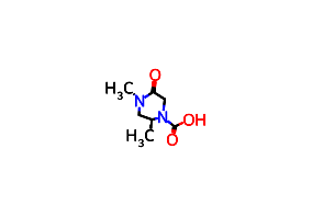 C[C@H]1CN(C)C(=O)CN1C(=O)O